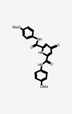 COc1ccc(NC(=O)c2cc(=O)cc(C(=O)Nc3ccc(OC)cc3)[nH]2)cc1